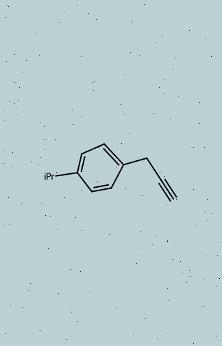 [C]#CCc1ccc(C(C)C)cc1